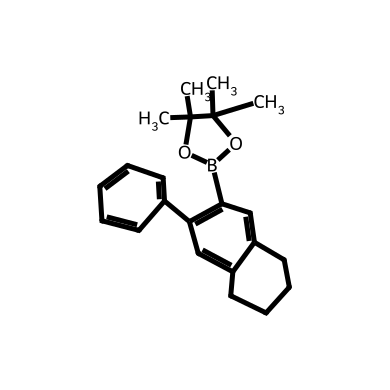 CC1(C)OB(c2cc3c(cc2-c2ccccc2)CCCC3)OC1(C)C